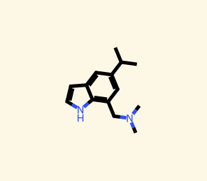 CC(C)c1cc(CN(C)C)c2[nH]ccc2c1